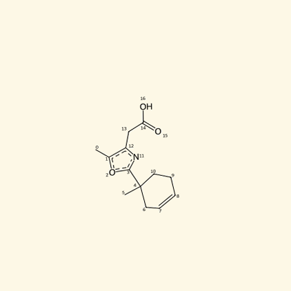 Cc1oc(C2(C)CC=CCC2)nc1CC(=O)O